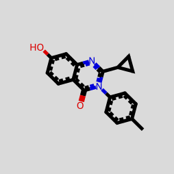 Cc1ccc(-n2c(C3CC3)nc3cc(O)ccc3c2=O)cc1